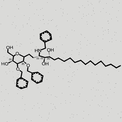 CCCCCCCCCCCCCC[C@@H](O)[C@@H](O)[C@H](CCC1OC(CO)[C@H](O)C(OCc2ccccc2)[C@@H]1OCc1ccccc1)NCc1ccccc1